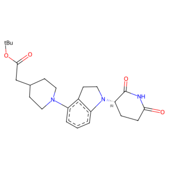 CC(C)(C)OC(=O)CC1CCN(c2cccc3c2CCN3[C@H]2CCC(=O)NC2=O)CC1